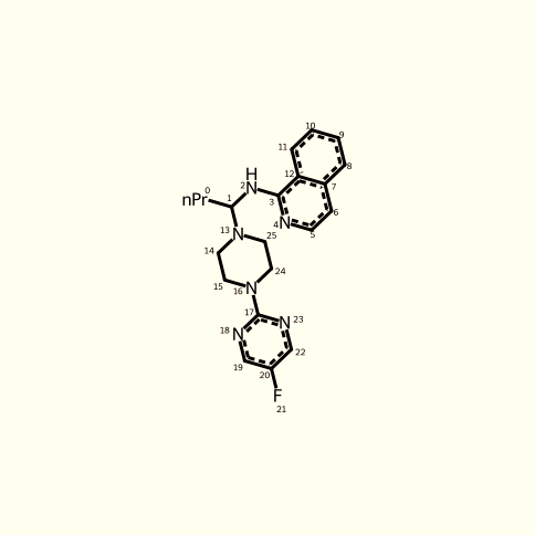 CCCC(Nc1nccc2ccccc12)N1CCN(c2ncc(F)cn2)CC1